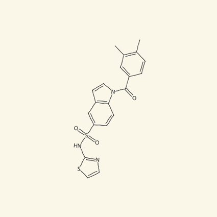 Cc1ccc(C(=O)n2ccc3cc(S(=O)(=O)Nc4nccs4)ccc32)cc1C